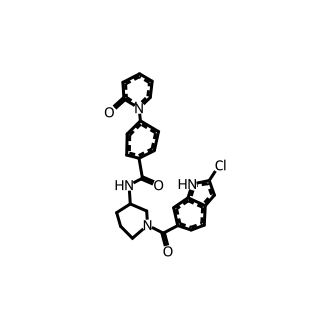 O=C(NC1CCCN(C(=O)c2ccc3cc(Cl)[nH]c3c2)C1)c1ccc(-n2ccccc2=O)cc1